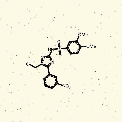 COc1ccc(S(=O)(=O)Nc2nc(-c3cccc([N+](=O)[O-])c3)c(CCl)s2)cc1OC